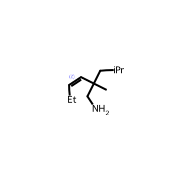 CC/C=C\C(C)(CN)CC(C)C